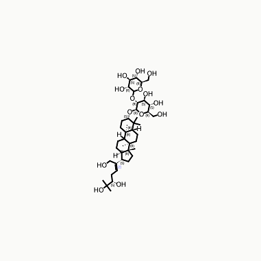 CC(C)(O)[C@@H](O)C/C=C(\CO)[C@H]1CC[C@]2(C)[C@@H]1CC[C@@H]1[C@@]3(C)CC[C@H](O[C@@H]4O[C@H](CO)[C@@H](O)[C@H](O)[C@H]4OC4O[C@H](CO)[C@@H](O)[C@H](O)[C@H]4O)C(C)(C)[C@@H]3CC[C@]12C